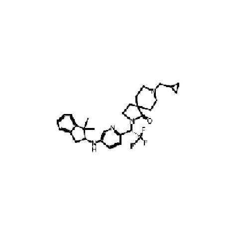 CC1(C)c2ccccc2C[C@@H]1Nc1ccc([C@H](N2CCC3(CCN(CC4CC4)CC3)C2=O)C(F)(F)F)nc1